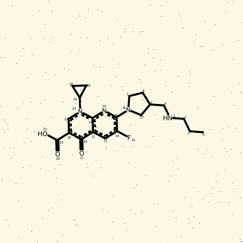 CCCNCC1CCN(c2nc3c(cc2F)c(=O)c(C(=O)O)cn3C2CC2)C1